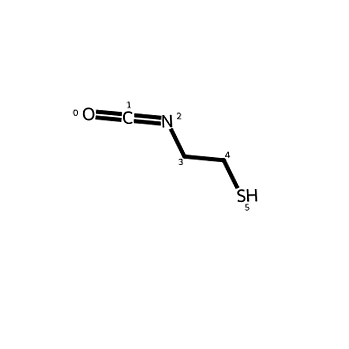 O=C=NCCS